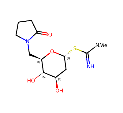 CNC(=N)S[C@@H]1C[C@@H](O)[C@H](O)[C@@H](CN2CCCC2=O)O1